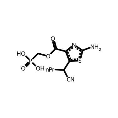 CCCC(C#N)c1sc(N)nc1C(=O)OCP(=O)(O)O